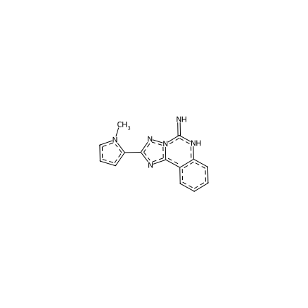 Cn1cccc1-c1nc2c3ccccc3[nH]c(=N)n2n1